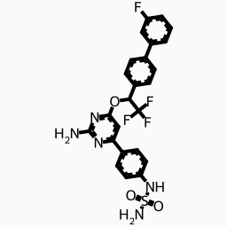 Nc1nc(OC(c2ccc(-c3cccc(F)c3)cc2)C(F)(F)F)cc(-c2ccc(NS(N)(=O)=O)cc2)n1